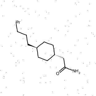 CC(C)CCC[C@H]1CC[C@H](CC(N)=O)CC1